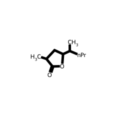 CCCC(C)C1CC(C)C(=O)O1